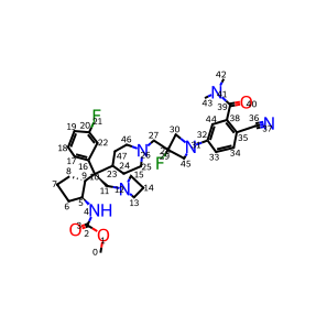 COC(=O)N[C@H]1CCC[C@@H]1[C@](CN1CCC1)(c1cccc(F)c1)C1CCN(CC2(F)CN(c3ccc(C#N)c(C(=O)N(C)C)c3)C2)CC1